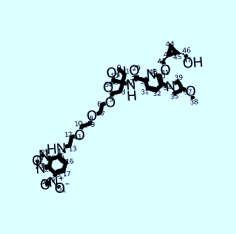 CCC(CCOCCOCCOCCNc1ccc([N+](=O)[O-])c2nonc12)(NC(=O)c1ccc(N2CC(OC)C2)c(OC[C@H]2C[C@@H]2CO)n1)C(=O)O